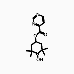 CC1(C)CC(OC(=O)c2ccncn2)CC(C)(C)N1O